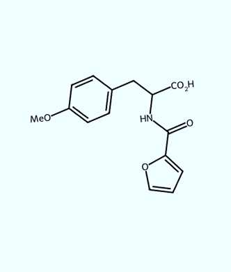 [CH2-][OH+]c1ccc(CC(NC(=O)c2ccco2)C(=O)O)cc1